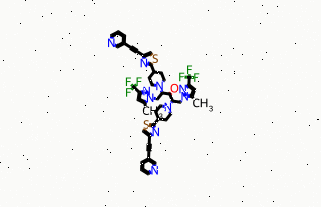 Cc1cc(C(F)(F)F)nn1CC(C(=O)C(Cn1nc(C(F)(F)F)cc1C)N1CCC(c2nc(C#Cc3cccnc3)cs2)CC1)N1CCC(c2nc(C#Cc3cccnc3)cs2)CC1